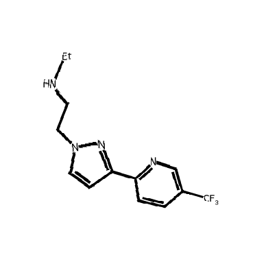 CCNCCn1ccc(-c2ccc(C(F)(F)F)cn2)n1